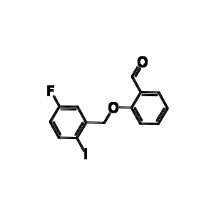 O=Cc1ccccc1OCc1cc(F)ccc1I